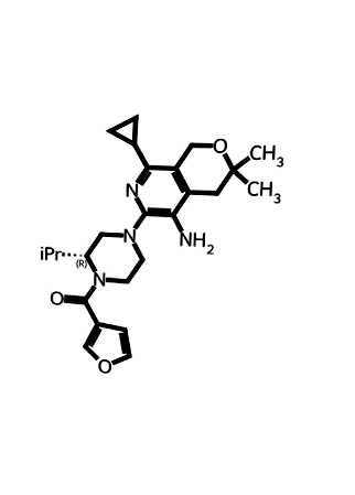 CC(C)[C@@H]1CN(c2nc(C3CC3)c3c(c2N)CC(C)(C)OC3)CCN1C(=O)c1ccoc1